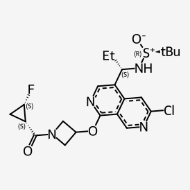 CC[C@H](N[S@@+]([O-])C(C)(C)C)c1cnc(OC2CN(C(=O)[C@@H]3C[C@@H]3F)C2)c2cnc(Cl)cc12